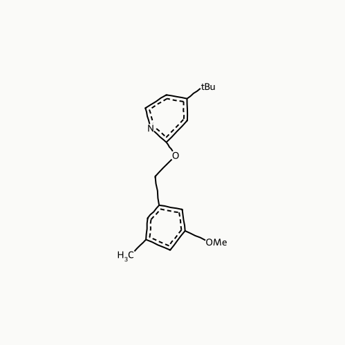 COc1cc(C)cc(COc2cc(C(C)(C)C)ccn2)c1